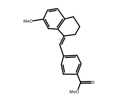 COC(=O)c1ccc(/C=C2\CCCc3ccc(OC)cc32)cc1